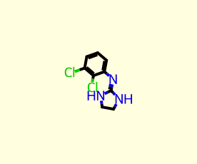 Clc1cccc(N=C2NCCN2)c1Cl